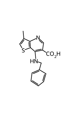 Cc1csc2c(NCc3ccccc3)c(C(=O)O)cnc12